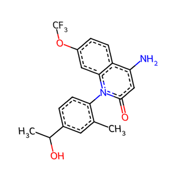 Cc1cc(C(C)O)ccc1-n1c(=O)cc(N)c2ccc(OC(F)(F)F)cc21